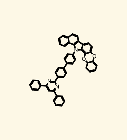 C1=CCC2Oc3c(ccc4c5ccc6ccccc6c5n(-c5ccc(-c6ccc(-c7nc(-c8ccccc8)cc(-c8ccccc8)n7)cc6)cc5)c34)OC2=C1